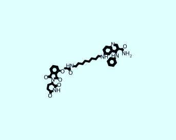 NC(=O)c1cnc2ccc(NCCCCCCCCNC(=O)COc3cccc4c3C(=O)N(C3CCC(=O)NC3=O)C4=O)cc2c1Nc1ccccc1